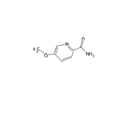 NC(=O)c1ccc(OC(F)(F)F)cn1